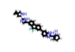 FC1(F)c2cc(-c3ccc4nc(C5NC6CC[C@H]5C6)[nH]c4c3)ccc2-c2ccc(-c3cnc([C@@H]4CC5(CC5)CN4)[nH]3)cc21